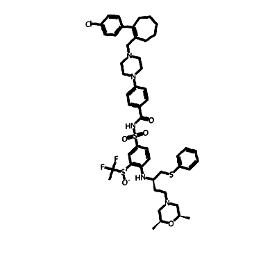 C[C@@H]1CN(CC[C@H](CSc2ccccc2)Nc2ccc(S(=O)(=O)NC(=O)c3ccc(N4CCN(CC5=C(c6ccc(Cl)cc6)CCCCC5)CC4)cc3)cc2[S+]([O-])C(C)(F)F)C[C@H](C)O1